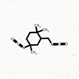 CC1(N=C=O)CCC(C)(C)C(CN=C=O)C1